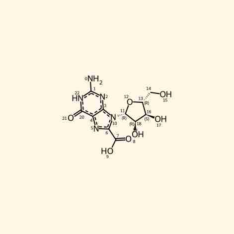 Nc1nc2c(nc(C(=O)O)n2[C@@H]2O[C@H](CO)[C@@H](O)[C@H]2O)c(=O)[nH]1